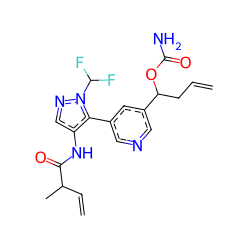 C=CCC(OC(N)=O)c1cncc(-c2c(NC(=O)C(C)C=C)cnn2C(F)F)c1